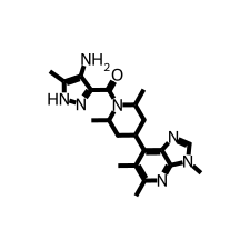 Cc1nc2c(ncn2C)c(C2CC(C)N(C(=O)c3n[nH]c(C)c3N)C(C)C2)c1C